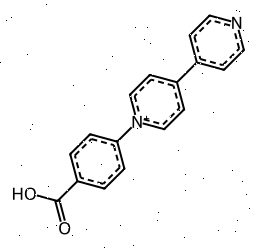 O=C(O)c1ccc(-[n+]2ccc(-c3ccncc3)cc2)cc1